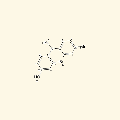 CCCN(c1ccc(Br)cc1)c1ccc(O)cc1Br